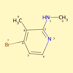 CNc1nccc(Br)c1C